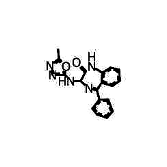 Cc1nnc(NC2N=C(c3ccccc3)c3ccccc3NC2=O)o1